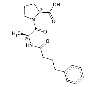 C[C@H](NC(=O)CCCc1ccccc1)C(=O)N1CCC[C@H]1C(=O)O